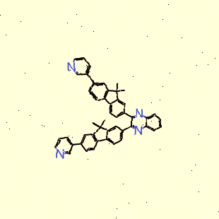 CC1(C)c2cc(-c3cccnc3)ccc2-c2ccc(-c3nc4ccccc4nc3-c3ccc4c(c3)C(C)(C)c3cc(-c5cccnc5)ccc3-4)cc21